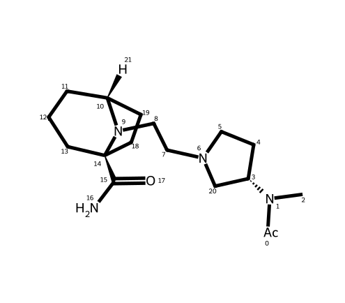 CC(=O)N(C)[C@H]1CCN(CCN2[C@@H]3C[CH]C[C@@]2(C(N)=O)CC3)C1